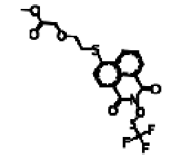 COC(=O)COCCSc1ccc2c3c(cccc13)C(=O)N(OSC(F)(F)F)C2=O